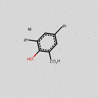 CC(C)c1cc(C(=O)O)c(O)c(C(C)C)c1.[Ni]